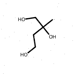 [CH2]C(O)(CO)CCO